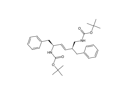 CC(C)(C)OC(=O)NC[C@H](/C=C/[C@H](Cc1ccccc1)NC(=O)OC(C)(C)C)Cc1ccccc1